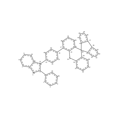 c1ccc(-c2nc3ccccc3n2-c2ccc(-c3cccc4c3Sc3ccccc3C43c4ccccc4-c4ccccc43)cc2)cc1